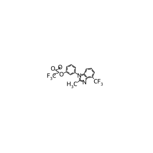 Cc1nc2c(C(F)(F)F)cccc2n1-c1cccc(OS(=O)(=O)C(F)(F)F)c1